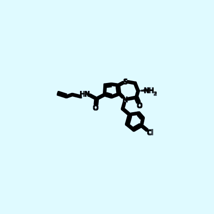 C=CCCNC(=O)c1ccc2c(c1)N(Cc1ccc(Cl)cc1)C(=O)[C@@H](N)CS2